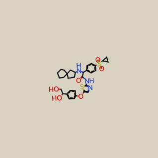 O=C(Nc1ncc(Oc2ccc(C(O)CO)cc2)s1)C(NC1CCC2(CCCCC2)C1)c1ccc(S(=O)(=O)C2CC2)cc1